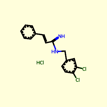 Cl.N=C(/C=C/c1ccccc1)NCc1ccc(Cl)c(Cl)c1